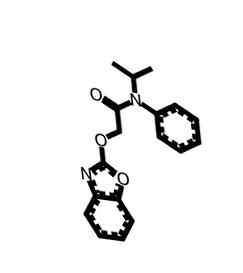 CC(C)N(C(=O)COc1nc2ccccc2o1)c1ccccc1